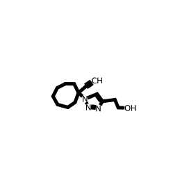 C#CC1(n2cc(CCO)nn2)CCCCCCC1